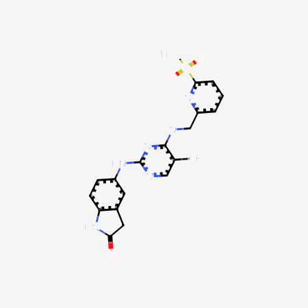 CS(=O)(=O)c1cccc(CNc2nc(Nc3ccc4c(c3)CC(=O)N4)ncc2C(F)(F)F)n1